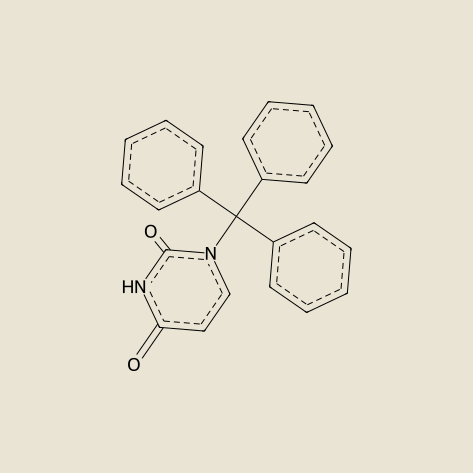 O=c1ccn(C(c2ccccc2)(c2ccccc2)c2ccccc2)c(=O)[nH]1